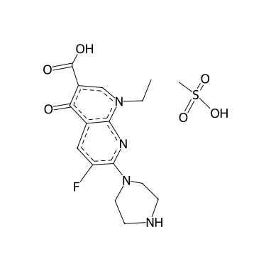 CCn1cc(C(=O)O)c(=O)c2cc(F)c(N3CCNCC3)nc21.CS(=O)(=O)O